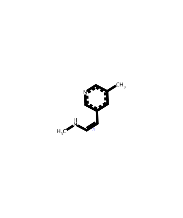 CN/C=C\c1cncc(C)c1